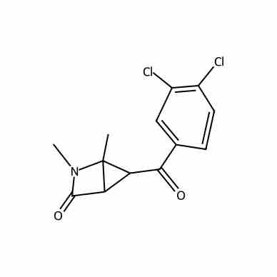 CN1C(=O)C2C(C(=O)c3ccc(Cl)c(Cl)c3)C21C